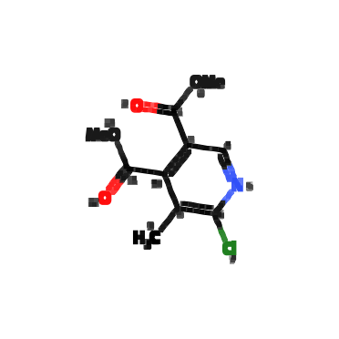 COC(=O)c1cnc(Cl)c(C)c1C(=O)OC